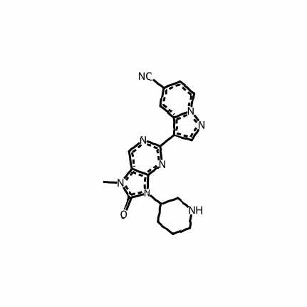 Cn1c(=O)n(C2CCCNC2)c2nc(-c3cnn4ccc(C#N)cc34)ncc21